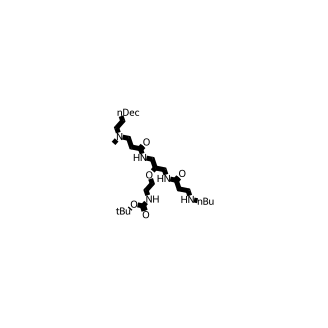 CCCCCCCCCCCCN(C)CCC(=O)NCC(CNC(=O)CCNCCCC)OCCNC(=O)OC(C)(C)C